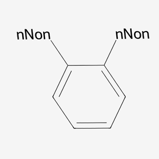 CCCCCCCCCc1ccccc1CCCCCCCCC